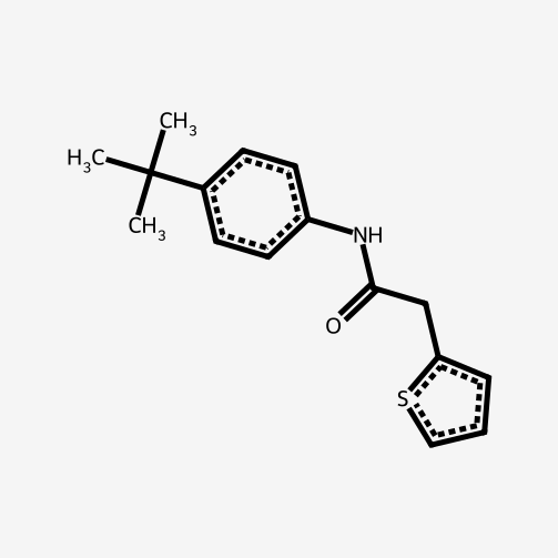 CC(C)(C)c1ccc(NC(=O)Cc2cccs2)cc1